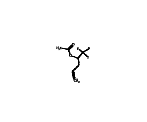 C=CCC(OC(C)=O)C(F)(F)F